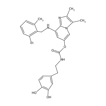 CCc1cccc(C)c1CNc1cc(OC(=O)NCCc2ccc(O)c(O)c2)cn2c(C)c(C)nc12